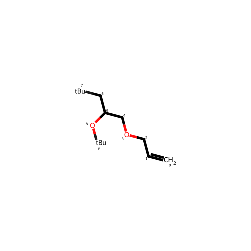 C=CCOCC(CC(C)(C)C)OC(C)(C)C